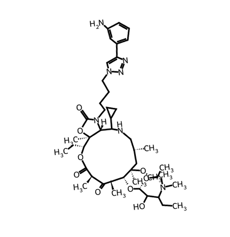 CCO[C@@H](O[C@@H]1[C@@H](C)C(=O)[C@@H](C)C(=O)O[C@H](CC)[C@@]2(C)OC(=O)N(CCCCn3cc(-c4cccc(N)c4)nn3)[C@@H]2C(C2CC2)NC[C@H](C)C[C@@]1(C)OC)C(O)C(CC)N(C)C